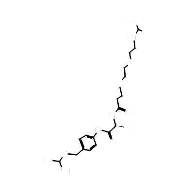 CC(C)NCCOCCOCCC(=O)N[C@@H](C)C(=O)Nc1ccc(COC(C)C)cc1